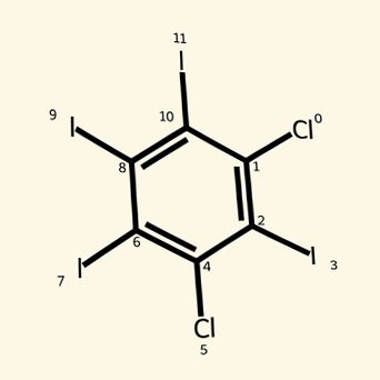 Clc1c(I)c(Cl)c(I)c(I)c1I